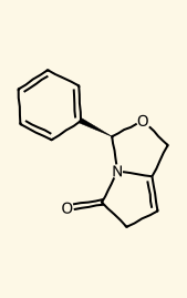 O=C1CC=C2CO[C@H](c3ccccc3)N12